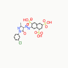 CC1=NN(c2cccc(Cl)c2)C(=O)C1N=Nc1cc2c(S(=O)(=O)O)cc(S(=O)(=O)O)cc2cc1S(=O)(=O)O